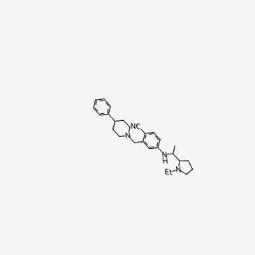 CCN1CCCC1C(C)Nc1ccc(C#N)c(CN2CCC(c3ccccc3)CC2)c1